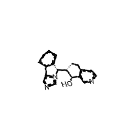 O[C@@H]1c2cnccc2CC[C@H]1[C@H]1c2ccccc2-c2cncn21